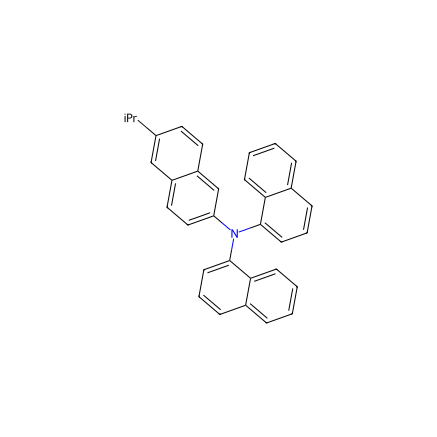 CC(C)c1ccc2cc(N(c3cccc4ccccc34)c3cccc4ccccc34)ccc2c1